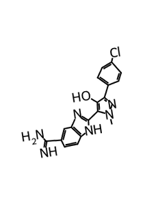 Cn1nc(-c2ccc(Cl)cc2)c(O)c1-c1nc2cc(C(=N)N)ccc2[nH]1